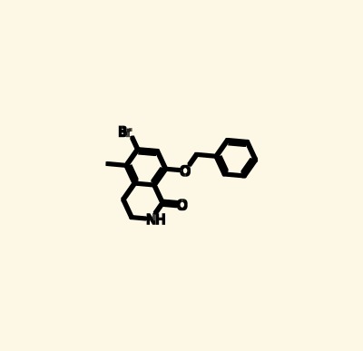 Cc1c(Br)cc(OCc2ccccc2)c2c1CCNC2=O